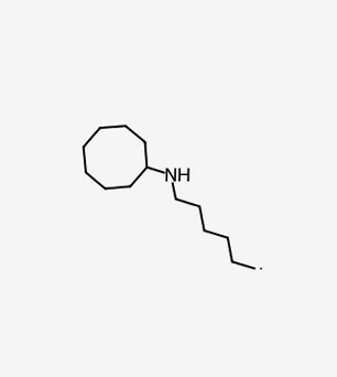 [CH2]CCCCCNC1CCCCCCC1